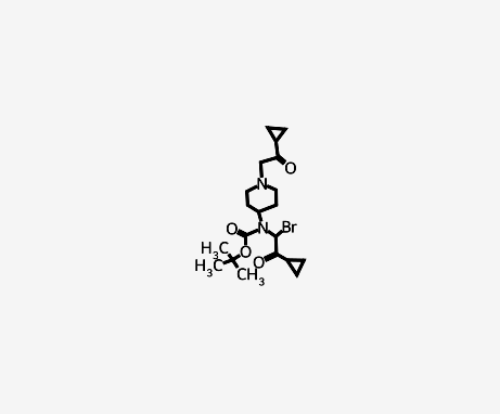 CC(C)(C)OC(=O)N(C1CCN(CC(=O)C2CC2)CC1)C(Br)C(=O)C1CC1